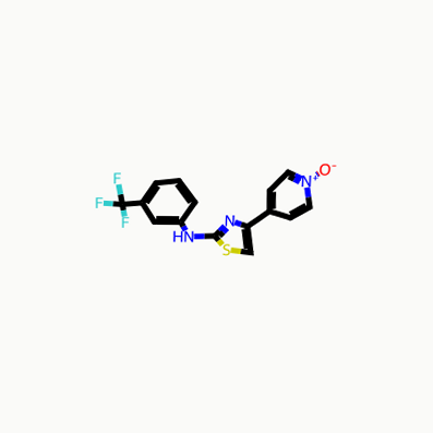 [O-][n+]1ccc(-c2csc(Nc3cccc(C(F)(F)F)c3)n2)cc1